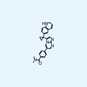 CN(C)C(=O)c1ccc(-c2cnc3ncc(C4(c5ccc6c(c5)C=CCN6)CC4)n3c2)cc1